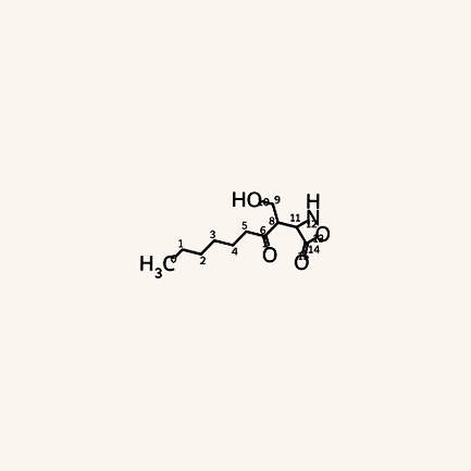 CCCCCCC(=O)C(CO)C1NOC1=O